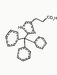 O=C(O)CCc1c[nH]c(C(c2ccccc2)(c2ccccc2)c2ccccc2)n1